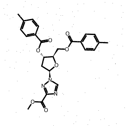 COC(=O)c1ncn([C@H]2C[C@H](OC(=O)c3ccc(C)cc3)[C@@H](COC(=O)c3ccc(C)cc3)O2)n1